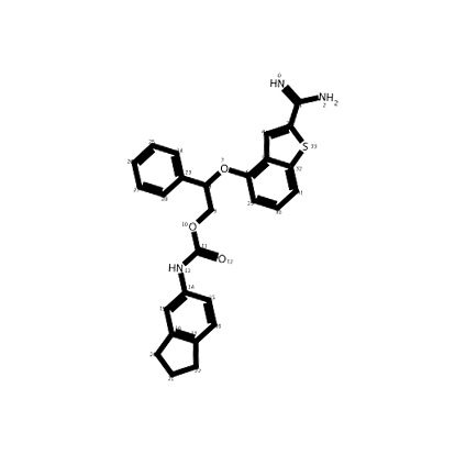 N=C(N)c1cc2c(OC(COC(=O)Nc3ccc4c(c3)CCC4)c3ccccc3)cccc2s1